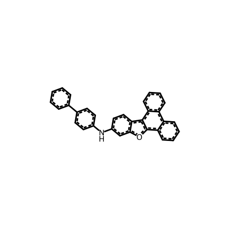 c1ccc(-c2ccc(Nc3ccc4c(c3)oc3c5ccccc5c5ccccc5c43)cc2)cc1